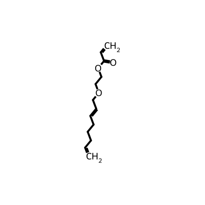 C=CCCC/C=C/COCCOC(=O)C=C